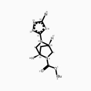 CC(C)(C)OC(=O)N1C[C@@H]2C[C@H]1CN2c1nnc(Br)s1